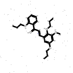 CCCOc1cc(/C=C/C(=O)c2ccccc2OCCC)c(OCCC)c(OC)c1